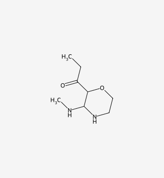 CCC(=O)C1OCCNC1NC